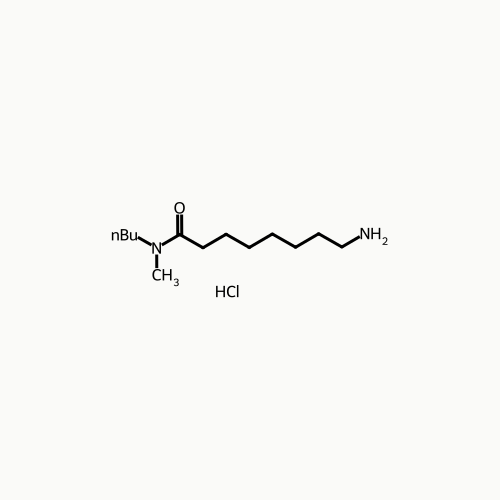 CCCCN(C)C(=O)CCCCCCCN.Cl